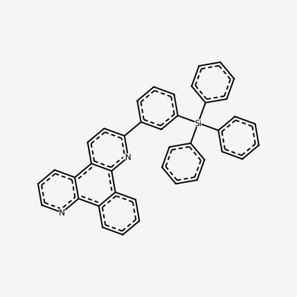 c1ccc([Si](c2ccccc2)(c2ccccc2)c2cccc(-c3ccc4c5cccnc5c5ccccc5c4n3)c2)cc1